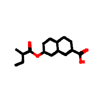 CCC(C)C(=O)OC1CCC2CCC(C(=O)O)CC2C1